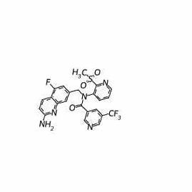 CS(=O)(=O)c1ncccc1N(Cc1cc(F)c2ccc(N)nc2c1)C(=O)c1cncc(C(F)(F)F)c1